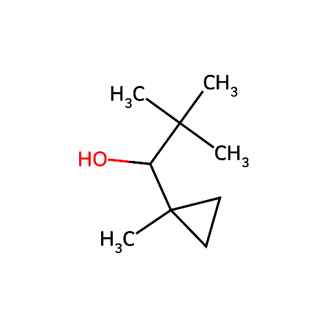 CC(C)(C)C(O)C1(C)CC1